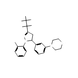 Cl.FC(F)(F)C(F)(F)C1=NN(c2ccccc2Cl)C(c2cccc(N3CCNCC3)c2)C1